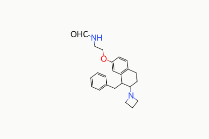 O=CNCCOc1ccc2c(c1)C(Cc1ccccc1)C(N1CCC1)CC2